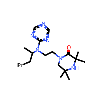 CC(C)CC(C)N(CCN1CC(C)(C)NC(C)(C)C1=O)c1ncncn1